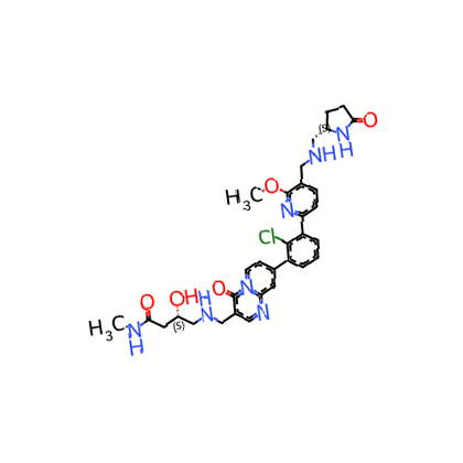 CNC(=O)C[C@H](O)CNCc1cnc2cc(-c3cccc(-c4ccc(CNC[C@@H]5CCC(=O)N5)c(OC)n4)c3Cl)ccn2c1=O